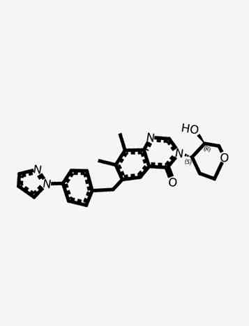 Cc1c(Cc2ccc(-n3cccn3)cc2)cc2c(=O)n([C@H]3CCOC[C@@H]3O)cnc2c1C